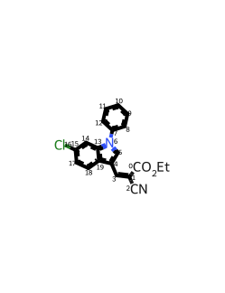 CCOC(=O)/C(C#N)=C\c1cn(-c2ccccc2)c2cc(Cl)ccc12